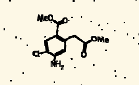 COC(=O)Cc1cc(N)c(Cl)cc1C(=O)OC